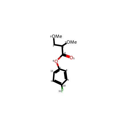 COCC(OC)C(=O)Oc1ccc(F)cc1